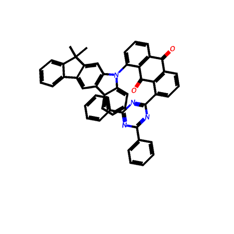 CC1(C)c2ccccc2-c2cc3c4ccccc4n(-c4cccc5c4C(=O)c4c(cccc4-c4nc(-c6ccccc6)nc(-c6ccccc6)n4)C5=O)c3cc21